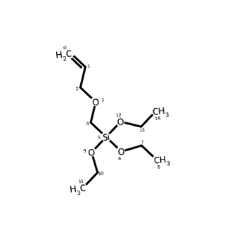 C=CCOC[Si](OCC)(OCC)OCC